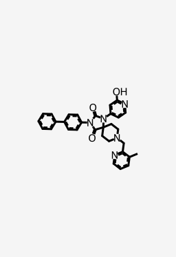 Cc1cccnc1CN1CCC2(CC1)C(=O)N(c1ccc(-c3ccccc3)cc1)C(=O)N2c1ccnc(O)c1